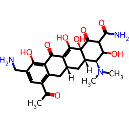 CC(=O)c1cc(CN)c(O)c2c1C[C@H]1C[C@H]3[C@H](N(C)C)C(O)C(C(N)=O)C(=O)[C@@]3(O)C(O)=C1C2=O